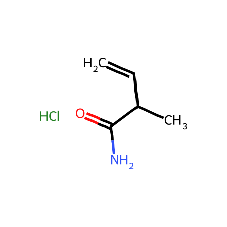 C=CC(C)C(N)=O.Cl